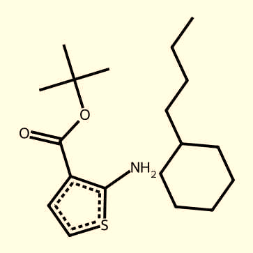 CC(C)(C)OC(=O)c1ccsc1N.CCCCC1CCCCC1